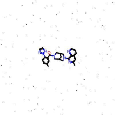 Cc1ccc(-n2nccn2)c(C(=O)N2CC3CC(C2)CN(c2nc(C)cc4cccnc24)C3)c1